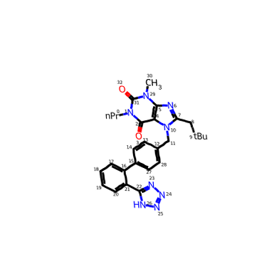 CCCn1c(=O)c2c(nc(CC(C)(C)C)n2Cc2ccc(-c3ccccc3-c3nnn[nH]3)cc2)n(C)c1=O